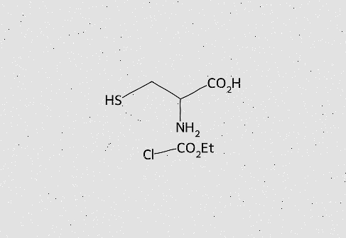 CCOC(=O)Cl.NC(CS)C(=O)O